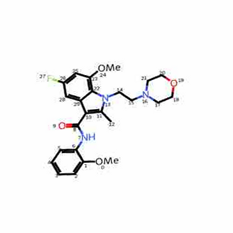 COc1ccccc1NC(=O)c1c(C)n(CCN2CCOCC2)c2c(OC)cc(F)cc12